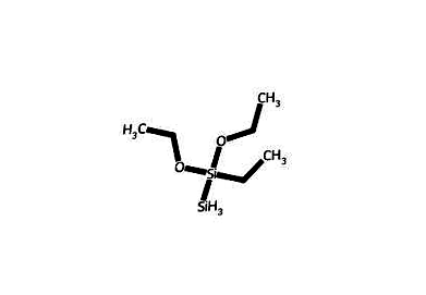 CCO[Si]([SiH3])(CC)OCC